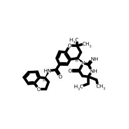 CCC1(CC)CC(=O)N([C@@H]2CC(C)(C)Oc3ccc(C(=O)N[C@H]4CCOc5ccccc54)cc32)C(=N)N1